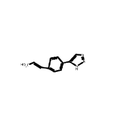 O=C(O)/C=C/c1ccc(-c2cnn[nH]2)cc1